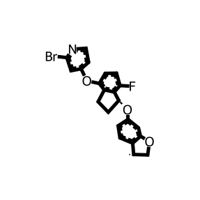 Fc1ccc(Oc2ccnc(Br)c2)c2c1[C@H](Oc1ccc3c(c1)OC[CH]3)CC2